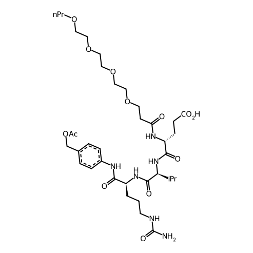 CCCOCCOCCOCCOCCC(=O)N[C@H](CCC(=O)O)C(=O)N[C@H](C(=O)N[C@@H](CCCNC(N)=O)C(=O)Nc1ccc(COC(C)=O)cc1)C(C)C